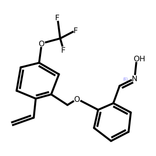 C=Cc1ccc(OC(F)(F)F)cc1COc1ccccc1/C=N/O